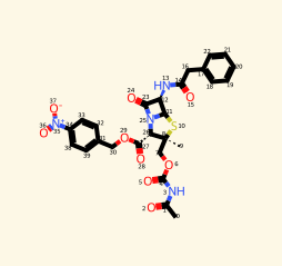 CC(=O)NC(=O)OC[C@]1(C)SC2[C@H](NC(=O)Cc3ccccc3)C(=O)N2[C@H]1C(=O)OCc1ccc([N+](=O)[O-])cc1